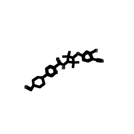 CC1(C)C(NC(=O)c2ccc(N3CCC(C=O)CC3)cn2)C(C)(C)C1Oc1ccc(C#N)c(Cl)c1